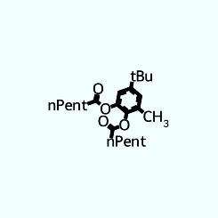 CCCCCC(=O)Oc1cc(C(C)(C)C)cc(C)c1OC(=O)CCCCC